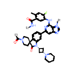 CCNC(=O)c1cc(Nc2nc(-c3ccc4c(c3)N([C@H]3C[C@@H](N5CCCCC5)C3)C(=O)C43CCN(C(=O)CC)CC3)cc3ncn(C(C)C)c23)c(F)cc1C